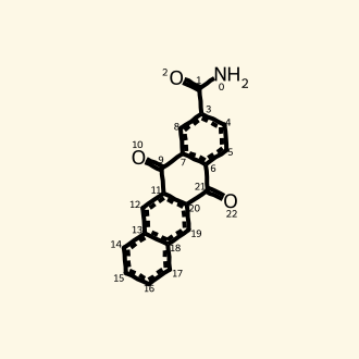 NC(=O)c1ccc2c(c1)C(=O)c1cc3ccccc3cc1C2=O